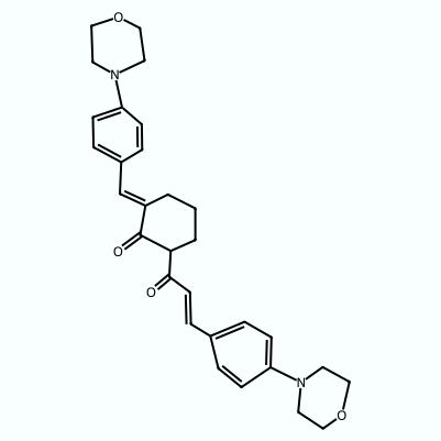 O=C(/C=C/c1ccc(N2CCOCC2)cc1)C1CCC/C(=C\c2ccc(N3CCOCC3)cc2)C1=O